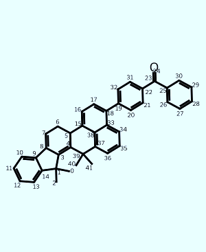 CC1(C)C2=C3C(CC=C2c2ccccc21)c1ccc(-c2ccc(C(=O)c4ccccc4)cc2)c2cccc(c12)C3(C)C